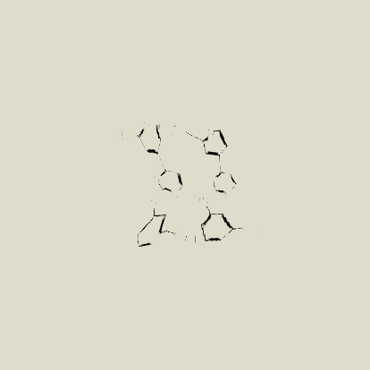 Cc1cccc(Nc2nccc(-c3ccnc(C)c3)n2)c1.Cc1cccc(Nc2nccc(-c3ccnc(C)c3)n2)c1